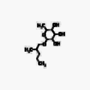 CCCC(C)COC1OC(C)C(O)C(O)C1O